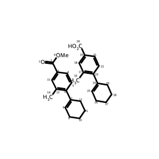 COC(=O)c1ccc(C2=CCCCC2)c(C)c1.Cc1cc(C(=O)O)ccc1C1=CCCCC1